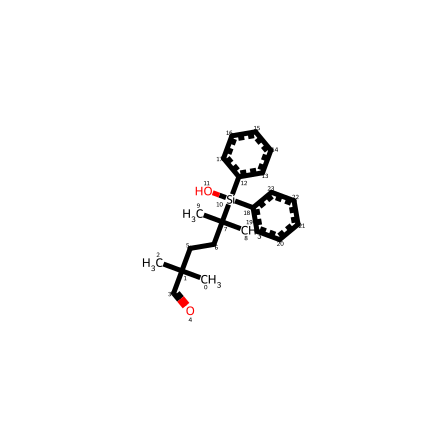 CC(C)(C=O)CCC(C)(C)[Si](O)(c1ccccc1)c1ccccc1